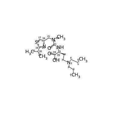 CCCN(CCC)CC[C@H](NC(=O)N(C)Cc1csc(C(C)C)n1)C(=O)O